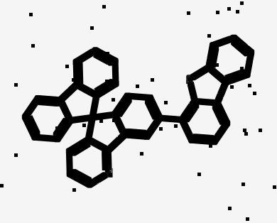 c1ccc2c(c1)-c1ccccc1C21c2ccc(-c3cccc4c3sc3ccccc34)cc2-c2ncccc21